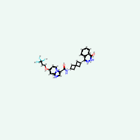 O=C(N[C@H]1CC2(C1)C[C@H](c1n[nH]c(=O)c3ccccc31)C2)c1cnc2cc(OCCC(F)(F)F)ccn12